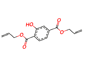 C=CCOC(=O)c1ccc(C(=O)OCC=C)c(O)c1